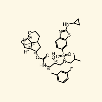 CC(C)CN(C[C@@H](O)[C@H](Cc1cccc(F)c1)NC(=O)O[C@@H]1CC2CCO[C@@H]3OC[C@H]1[C@H]23)S(=O)(=O)c1ccc2nc(NC3CC3)sc2c1